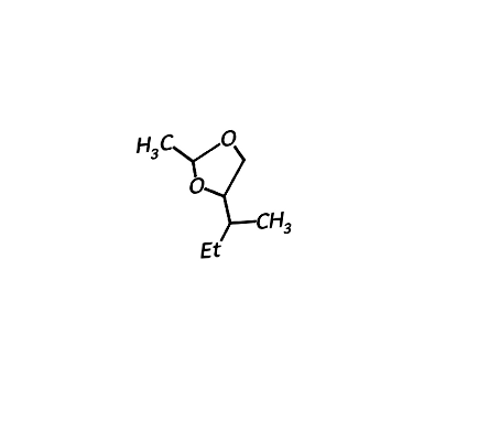 CCC(C)C1COC(C)O1